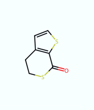 O=C1SCCc2ccsc21